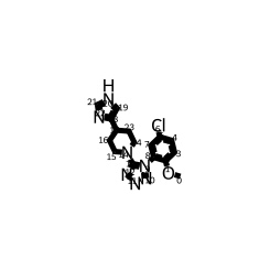 COc1ccc(Cl)cc1-n1nnnc1N1CCC(c2c[nH]cn2)CC1